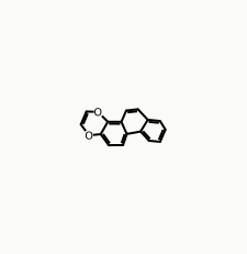 C1=COc2c(ccc3c2ccc2ccccc23)O1